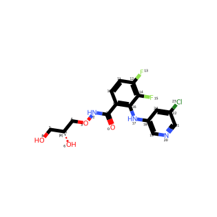 O=C(NOC[C@H](O)CO)c1ccc(F)c(F)c1Nc1cncc(Cl)c1